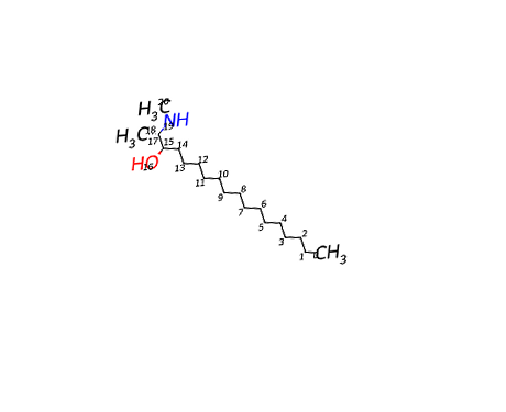 CCCCCCCCCCCCCCC[C@@H](O)[C@H](C)NC